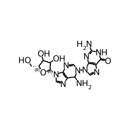 Nc1nc2c(ncn2N2C=Nc3c(ncn3[C@@H]3O[C@H](CO)C(O)C3O)C2N)c(=O)[nH]1